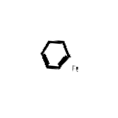 C1=CCCC=C1.[Fe]